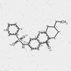 CCC1CCc2c(sc3cc(NS(=O)(=O)c4cccnc4)ccc3c2=O)C1